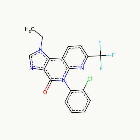 CCn1cnc2c(=O)n(-c3ccccc3Cl)c3nc(C(F)(F)F)ccc3c21